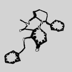 CN1C(=O)c2c(OCc3ccccc3)c(=O)ccn2N2C(c3ccccc3)CCCC12